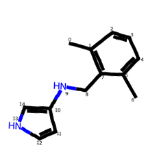 Cc1cccc(C)c1CNc1cc[nH]c1